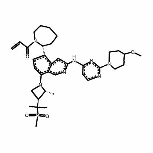 C=CC(=O)N1CCCCC[C@@H]1c1ccc(N2C[C@H](C(C)(C)S(C)(=O)=O)[C@H]2C)c2cnc(Nc3ccnc(N4CCC(OC)CC4)n3)cc12